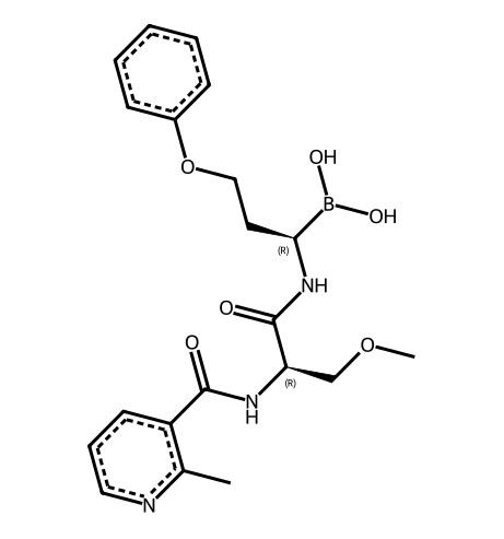 COC[C@@H](NC(=O)c1cccnc1C)C(=O)N[C@@H](CCOc1ccccc1)B(O)O